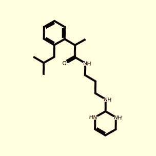 CC(C)Cc1ccccc1C(C)C(=O)NCCCNC1NC=CCN1